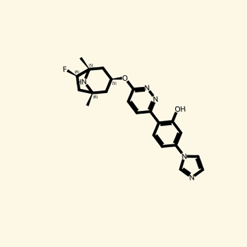 C[C@]12C[C@H](Oc3ccc(-c4ccc(-n5ccnc5)cc4O)nn3)C[C@](C)(N1)[C@H](F)C2